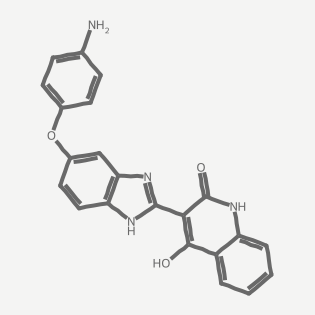 Nc1ccc(Oc2ccc3[nH]c(-c4c(O)c5ccccc5[nH]c4=O)nc3c2)cc1